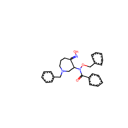 O=C(c1ccccc1)N(OCc1ccccc1)C1CN(Cc2ccccc2)CCCC1=NO